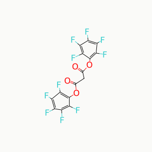 O=C(CC(=O)Oc1c(F)c(F)c(F)c(F)c1F)Oc1c(F)c(F)c(F)c(F)c1F